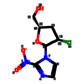 O=[N+]([O-])c1nccn1C1O[C@H](CO)C[C@H]1Cl